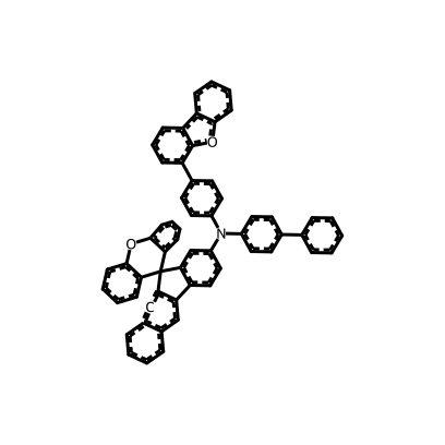 c1ccc(-c2ccc(N(c3ccc(-c4cccc5c4oc4ccccc45)cc3)c3ccc4c(c3)C3(c5ccccc5Oc5ccccc53)c3cc5ccccc5cc3-4)cc2)cc1